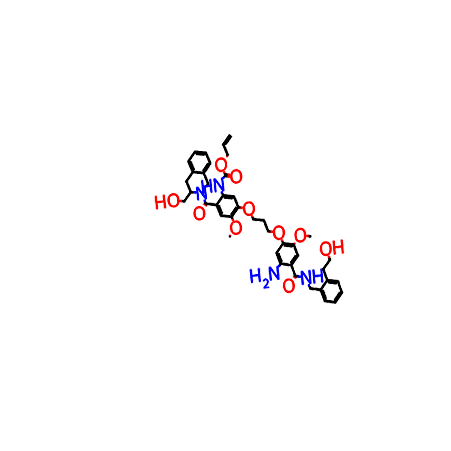 C=CCOC(=O)Nc1cc(OCCCOc2cc(N)c(C(=O)NCc3ccccc3CCO)cc2OC)c(OC)cc1C(=O)N1Cc2ccccc2CC1CO